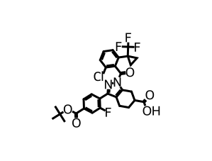 CC(C)(C)OC(=O)c1ccc(-c2nn(C(=O)c3c(Cl)cccc3C3(C(F)(F)F)CC3)c3c2CCC(C(=O)O)C3)c(F)c1